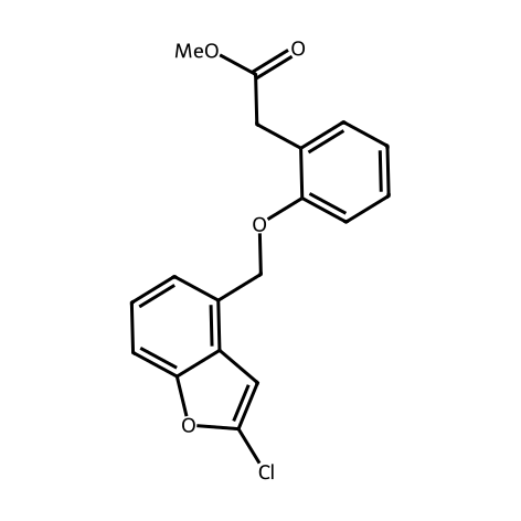 COC(=O)Cc1ccccc1OCc1cccc2oc(Cl)cc12